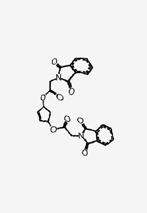 O=C(CN1C(=O)c2ccccc2C1=O)OC1C=C[C@@H](OC(=O)CN2C(=O)c3ccccc3C2=O)C1